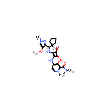 COc1cn(C)nc1[C@H](Nc1c(Nc2ccnc(C(=O)N(C)C)c2O)c(=O)c1=O)C1(C)CCCC1